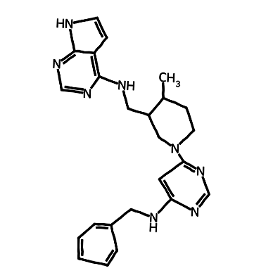 CC1CCN(c2cc(NCc3ccccc3)ncn2)CC1CNc1ncnc2[nH]ccc12